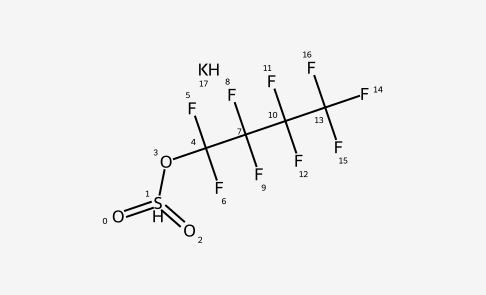 O=[SH](=O)OC(F)(F)C(F)(F)C(F)(F)C(F)(F)F.[KH]